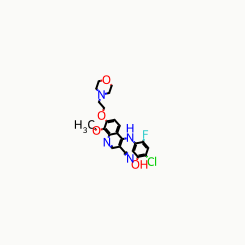 COc1c(OCCN2CCOCC2)ccc2c(Nc3cc(O)c(Cl)cc3F)c(C#N)cnc12